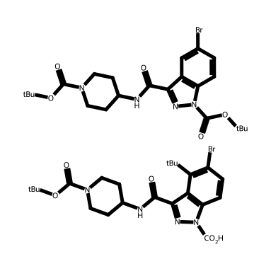 CC(C)(C)OC(=O)N1CCC(NC(=O)c2nn(C(=O)O)c3ccc(Br)c(C(C)(C)C)c23)CC1.CC(C)(C)OC(=O)N1CCC(NC(=O)c2nn(C(=O)OC(C)(C)C)c3ccc(Br)cc23)CC1